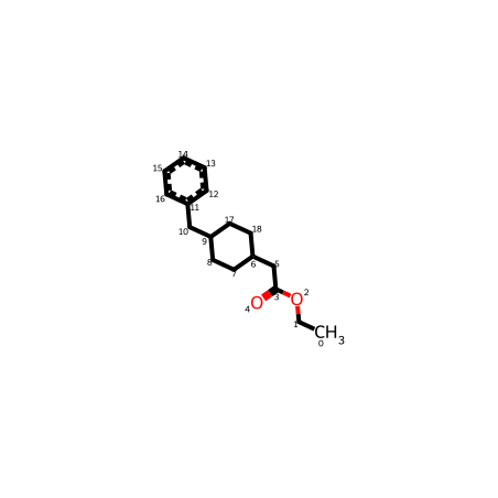 CCOC(=O)CC1CCC(Cc2ccccc2)CC1